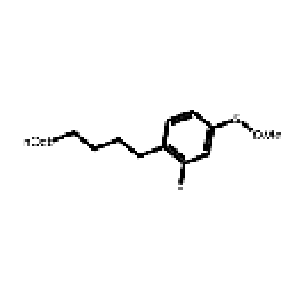 CCCCCCCCCCCCc1ccc(SOC)cc1F